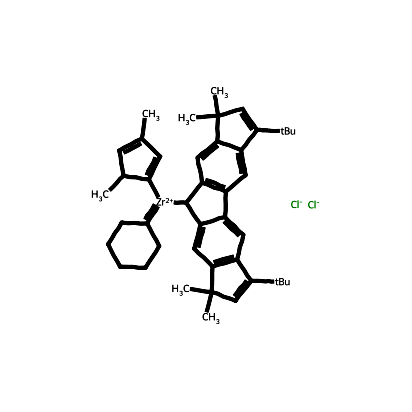 CC1=CC(C)[C]([Zr+2](=[C]2CCCCC2)[CH]2c3cc4c(cc3-c3cc5c(cc32)C(C)(C)C=C5C(C)(C)C)C(C(C)(C)C)=CC4(C)C)=C1.[Cl-].[Cl-]